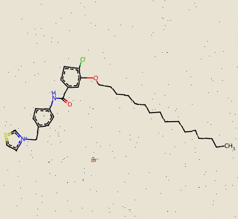 CCCCCCCCCCCCCCCCOc1cc(C(=O)Nc2ccc(C[n+]3ccsc3)cc2)ccc1Cl.[Br-]